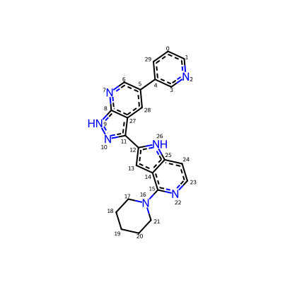 c1cncc(-c2cnc3[nH]nc(-c4cc5c(N6CCCCC6)nccc5[nH]4)c3c2)c1